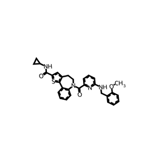 COc1ccccc1CNc1cccc(C(=O)N2CCc3cc(C(=O)NC4CC4)sc3-c3ccccc32)n1